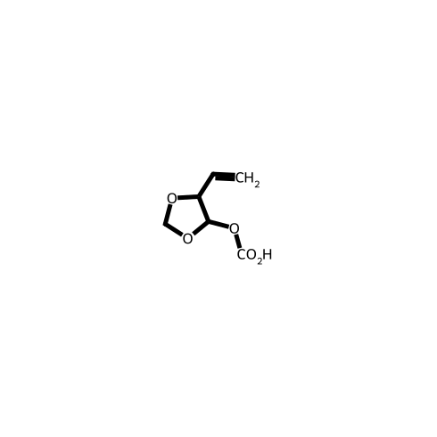 C=CC1OCOC1OC(=O)O